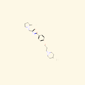 CC1CCN(CCCOc2ccc(-c3nc(CN4CCCC4C)co3)cc2)CC1